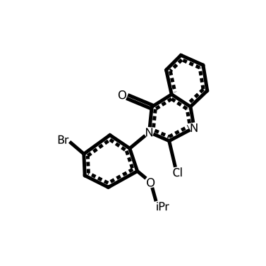 CC(C)Oc1ccc(Br)cc1-n1c(Cl)nc2ccccc2c1=O